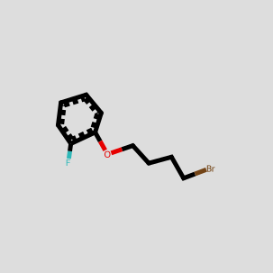 Fc1ccccc1OCCCCBr